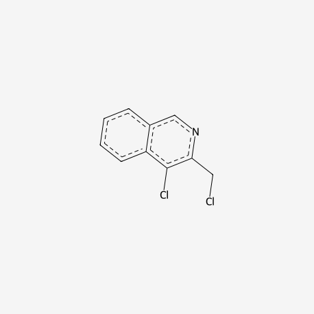 ClCc1ncc2ccccc2c1Cl